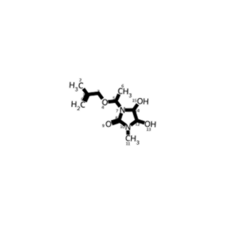 C=C(C)COC(C)N1C(=O)N(C)C(O)C1O